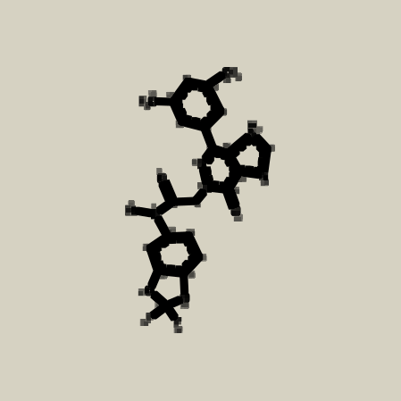 CCN(C(=O)Cn1nc(-c2cc(C)cc(C(F)(F)F)c2)c2[nH]cnc2c1=O)c1ccc2c(c1)OC(F)(F)O2